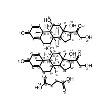 C[C@]12C=CC(=O)C=C1CC[C@@H]1[C@@H]2[C@@H](O)C[C@@]2(C)[C@H]1CC[C@]2(O)C(=O)CO.C[C@]12C=CC(=O)C=C1CC[C@@H]1[C@@H]2[C@@H](O)C[C@@]2(C)[C@H]1CC[C@]2(O)C(=O)CO.O=C(O)CCC(=O)O